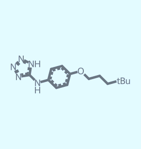 CC(C)(C)CCCOc1ccc(Nc2nnn[nH]2)cc1